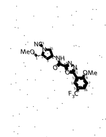 COC[C@H]1C[C@@H](NC(=O)c2nnc(-c3cc(C(F)(F)F)ccc3OC)o2)CN1C#N